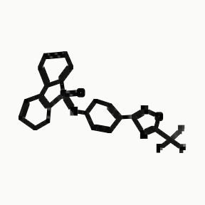 O=S1(=NC2C=CC(c3noc(C(F)(F)F)n3)=CC2)C2=C(C=CCC2)c2ccccc21